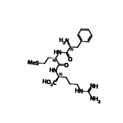 CSCC[C@H](NC(=O)[C@@H](N)Cc1ccccc1)C(=O)N[C@@H](CCCNC(=N)N)C(=O)O